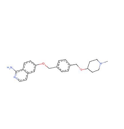 CN1CCC(OCc2ccc(COc3ccc4c(N)nccc4c3)cc2)CC1